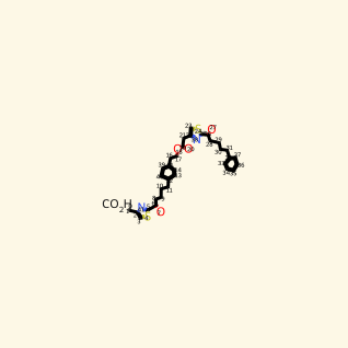 O=C(O)Cc1csc(C(=O)CCCCc2ccc(CCOC(=O)Cc3csc(C(=O)CCCCc4ccccc4)n3)cc2)n1